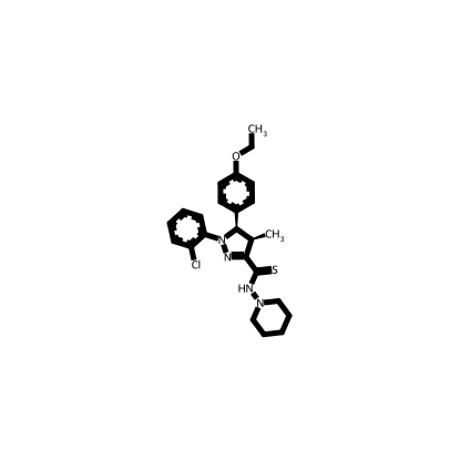 CCOc1ccc([C@H]2[C@@H](C)C(C(=S)NN3CCCCC3)=NN2c2ccccc2Cl)cc1